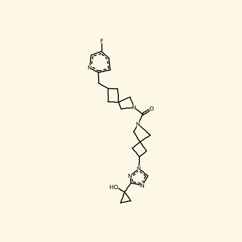 O=C(N1CC2(CC(Cc3ccc(F)cn3)C2)C1)N1CC2(CC(n3cnc(C4(O)CC4)n3)C2)C1